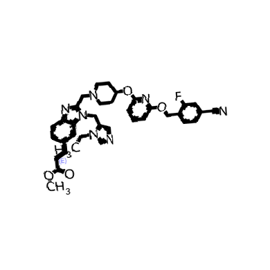 CCn1cncc1Cn1c(CN2CCC(Oc3cccc(OCc4ccc(C#N)cc4F)n3)CC2)nc2ccc(/C=C/C(=O)OC)cc21